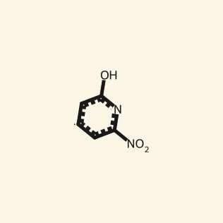 O=[N+]([O-])c1c[c]cc(O)n1